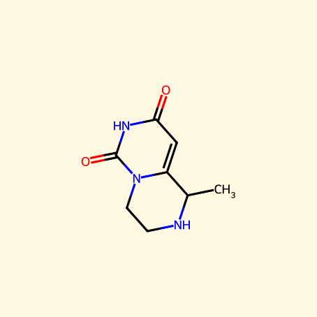 CC1NCCn2c1cc(=O)[nH]c2=O